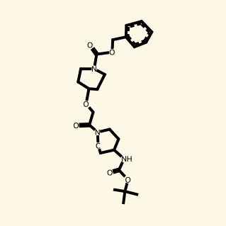 CC(C)(C)OC(=O)NC1CCN(C(=O)COC2CCN(C(=O)OCc3ccccc3)CC2)CC1